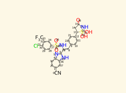 N#Cc1ccc2nc([C@H](Cc3ccc(C4CC(=O)NS4(O)O)cc3)NS(=O)(=O)c3ccc(Cl)c(C(F)(F)F)c3)[nH]c2c1